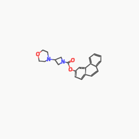 O=C(Oc1ccc2ccc3ccccc3c2c1)N1CC(N2CCOCC2)C1